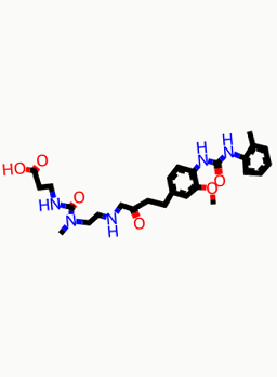 COc1cc(CCC(=O)CNCCN(C)C(=O)NCCC(=O)O)ccc1NC(=O)Nc1ccccc1C